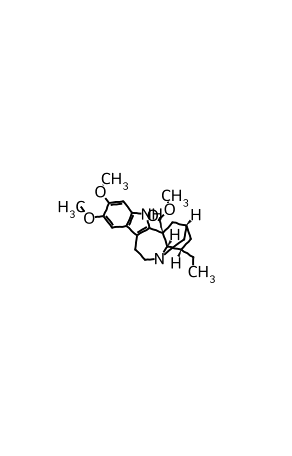 CC[C@H]1C[C@@H]2CN3CCc4c([nH]c5cc(OC)c(OC)cc45)[C@](C(=O)OC)(C2)[C@H]13